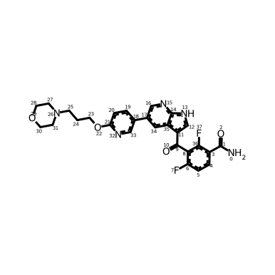 NC(=O)c1ccc(F)c(C(=O)c2c[nH]c3ncc(-c4ccc(OCCCN5CCOCC5)nc4)cc23)c1F